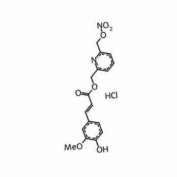 COc1cc(/C=C/C(=O)OCc2cccc(CO[N+](=O)[O-])n2)ccc1O.Cl